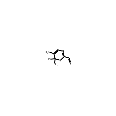 CC1=CN=C(C=S)SC1(C)O